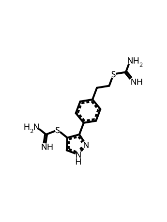 N=C(N)SCCc1ccc(-c2n[nH]cc2SC(=N)N)cc1